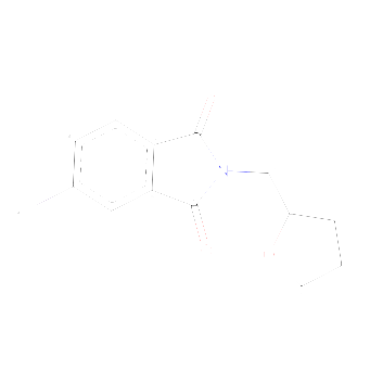 O=C1c2ccc(I)cc2C(=O)N1CC1CCCO1